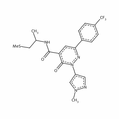 CSCC(C)NC(=O)c1cc(-c2ccc(C(F)(F)F)cc2)nn(-c2cnn(C)c2)c1=O